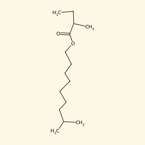 CCC(C)C(=O)OCCCCCCCC(C)C